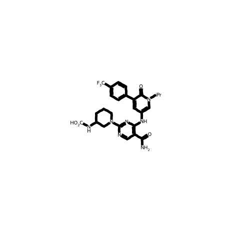 CC(C)n1cc(Nc2nc(N3CCCC(NC(=O)O)C3)ncc2C(N)=O)cc(-c2ccc(C(F)(F)F)cc2)c1=O